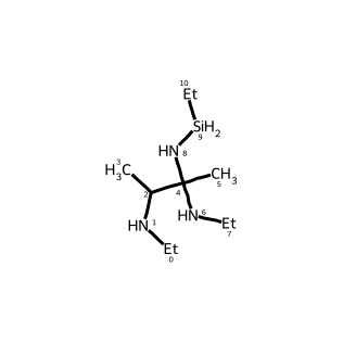 CCNC(C)C(C)(NCC)N[SiH2]CC